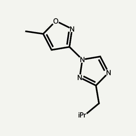 Cc1cc(-n2cnc(CC(C)C)n2)no1